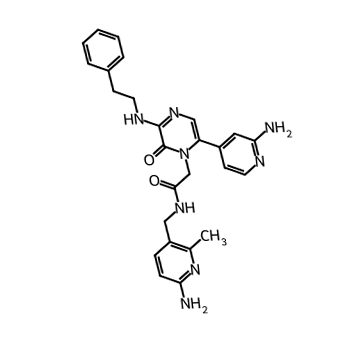 Cc1nc(N)ccc1CNC(=O)Cn1c(-c2ccnc(N)c2)cnc(NCCc2ccccc2)c1=O